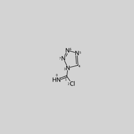 N=C(Cl)n1cnnn1